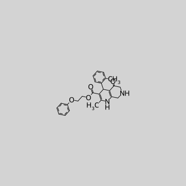 CC1=C(C(=O)OCCOc2ccccc2)C(c2ccccc2C)C2=C(CNCC2=O)N1